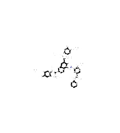 COc1cc(NC(=O)c2ccc3c(/N=N/c4cc(C(=O)Nc5ccccc5)ccc4OC)c(O)c(C(=O)Nc4cc(OC)c(Cl)cc4OC)cc3c2)c(OC)cc1Cl